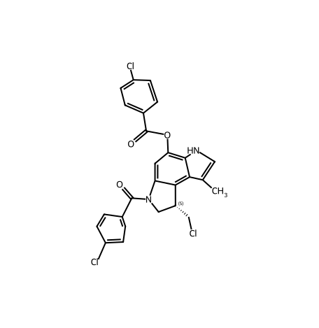 Cc1c[nH]c2c(OC(=O)c3ccc(Cl)cc3)cc3c(c12)[C@H](CCl)CN3C(=O)c1ccc(Cl)cc1